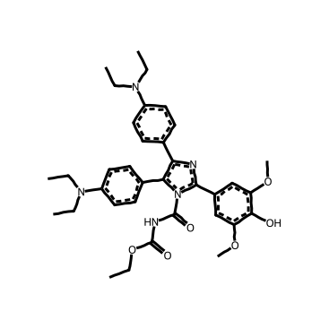 CCOC(=O)NC(=O)n1c(-c2cc(OC)c(O)c(OC)c2)nc(-c2ccc(N(CC)CC)cc2)c1-c1ccc(N(CC)CC)cc1